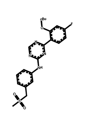 CCCCOc1cc(F)ccc1-c1ncnc(Nc2cccc(CS(C)(=O)=O)c2)n1